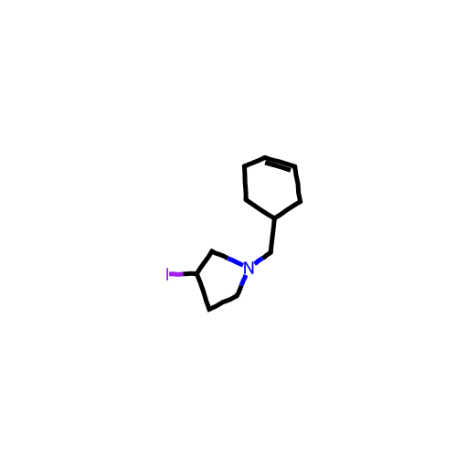 IC1CCN(CC2CC=CCC2)C1